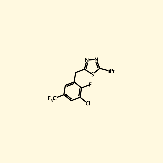 CC(C)c1nnc(Cc2cc(C(F)(F)F)cc(Cl)c2F)s1